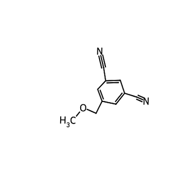 COCc1cc(C#N)cc(C#N)c1